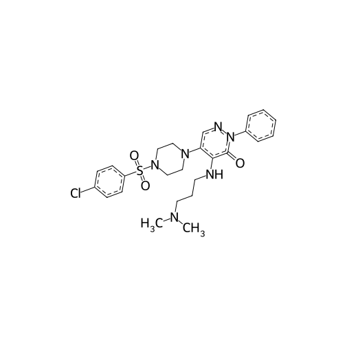 CN(C)CCCNc1c(N2CCN(S(=O)(=O)c3ccc(Cl)cc3)CC2)cnn(-c2ccccc2)c1=O